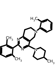 Cc1ccccc1N1CCc2nc(-c3c(C)cccc3C)nc(N3CCC(C)CC3)c2C1